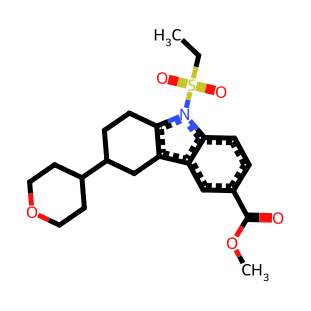 CCS(=O)(=O)n1c2c(c3cc(C(=O)OC)ccc31)CC(C1CCOCC1)CC2